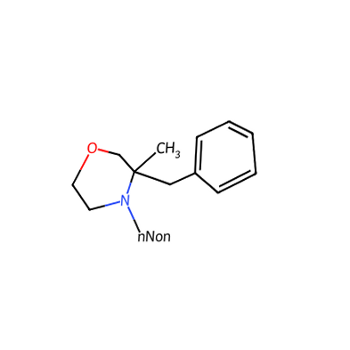 CCCCCCCCCN1CCOCC1(C)Cc1ccccc1